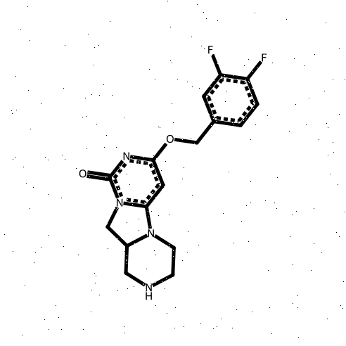 O=c1nc(OCc2ccc(F)c(F)c2)cc2n1CC1CNCCN21